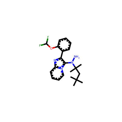 CC(C)(C)CC(C)(C)N(N)c1c(-c2ccccc2OC(F)F)nc2ccccn12